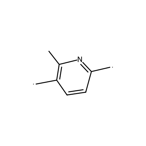 [CH2]c1ccc([CH2])c(C)n1